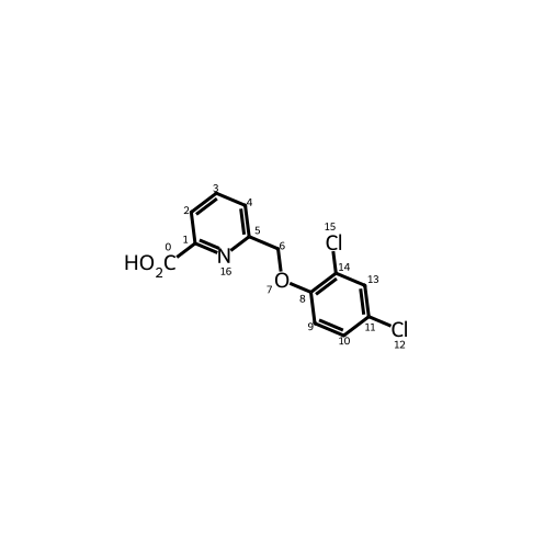 O=C(O)c1cccc(COc2ccc(Cl)cc2Cl)n1